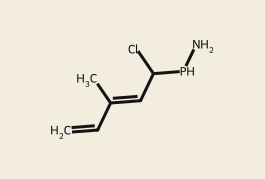 C=C/C(C)=C/C(Cl)PN